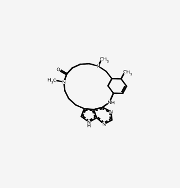 CC1C=CC2CC1CN(C)CCCC(=O)N(C)CCCc1c[nH]c3ncnc(c13)N2